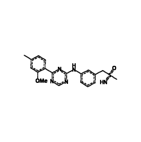 COc1cc(C)ccc1-c1ncnc(Nc2cccc(CS(C)(=N)=O)c2)n1